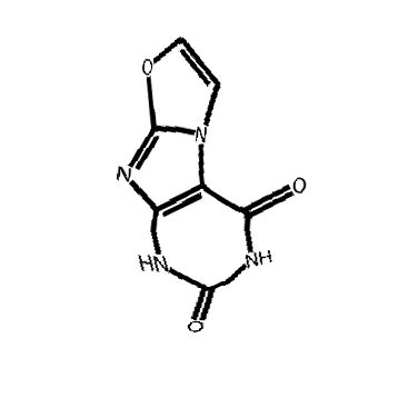 O=c1[nH]c(=O)c2c(nc3occn32)[nH]1